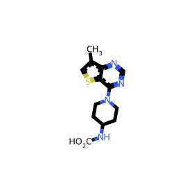 Cc1csc2c(N3CCC(NC(=O)O)CC3)ncnc12